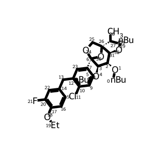 CCCCO[C@@H]1[C@@H](OCCCC)[C@@]2(c3ccc(Cl)c(Cc4ccc(OCC)c(F)c4)c3)OC[C@](C(C)F)(O2)[C@H]1OCCCC